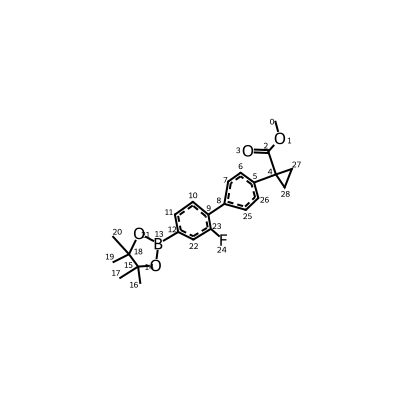 COC(=O)C1(c2ccc(-c3ccc(B4OC(C)(C)C(C)(C)O4)cc3F)cc2)CC1